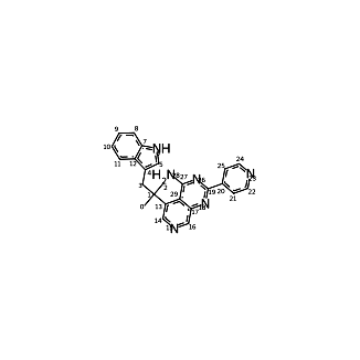 CC(C)(Cc1c[nH]c2ccccc12)c1cncc2nc(-c3ccncc3)nc(N)c12